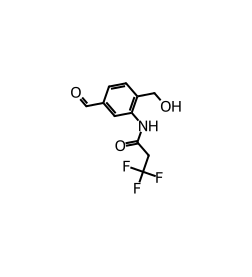 O=Cc1ccc(CO)c(NC(=O)CC(F)(F)F)c1